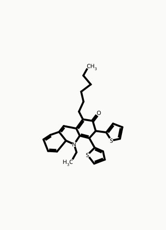 CCCCCCC1=C2C=C3C=CC=CC3N(CC)C2=C(c2cccs2)C(c2cccs2)C1=O